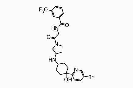 O=C(NCC(=O)N1CCC(NC2CCC(O)(c3ccc(Br)cn3)CC2)C1)c1cccc(C(F)(F)F)c1